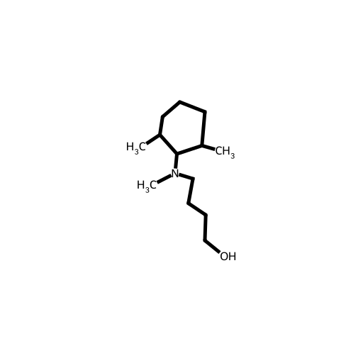 CC1CCCC(C)C1N(C)CCCCO